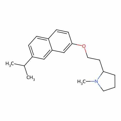 CC(C)c1ccc2ccc(OCCC3CCCN3C)cc2c1